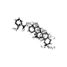 CC1(C)[C@@H](OC(=O)c2ccccc2C(=O)O)CC[C@]2(C)[C@H]3C(=O)C=C4[C@H]5C[C@@](C)(C(=O)O)CC[C@]5(C)CC[C@@]4(C)[C@]3(C)CC[C@@H]12